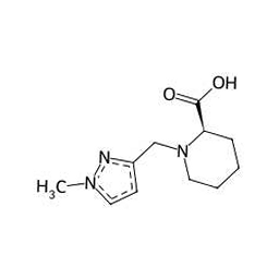 Cn1ccc(CN2CCCC[C@@H]2C(=O)O)n1